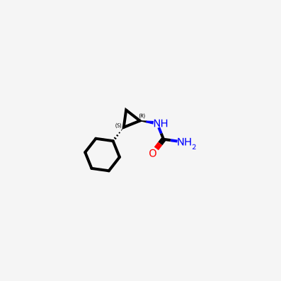 NC(=O)N[C@@H]1C[C@H]1C1CCCCC1